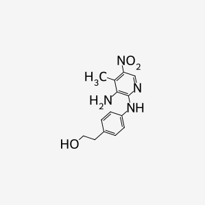 Cc1c([N+](=O)[O-])cnc(Nc2ccc(CCO)cc2)c1N